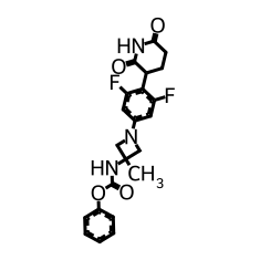 CC1(NC(=O)Oc2ccccc2)CN(c2cc(F)c(C3CCC(=O)NC3=O)c(F)c2)C1